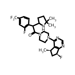 C[C@@H]1C[C@H](F)c2ncnc(N3CCN(C(=O)C(c4ccc(C(F)(F)F)cc4F)C4CCC(C)(C)N4)CC3)c21